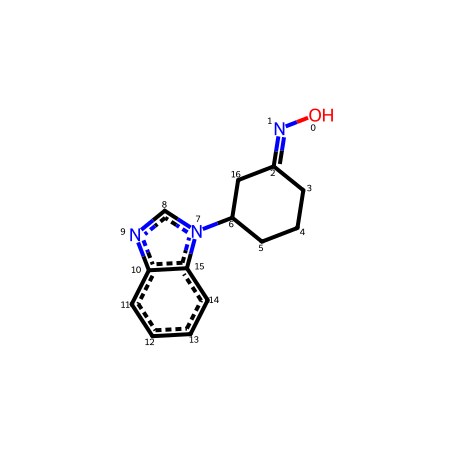 ON=C1CCCC(n2cnc3ccccc32)C1